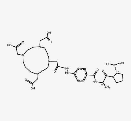 C[C@@H](NC(=O)c1ccc(NNC(=O)CN2CCN(CC(=O)O)CCCN(CC(=O)O)CCN(CC(=O)O)CC2)cc1)C(=O)N1CCC[C@H]1B(O)O